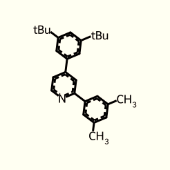 Cc1cc(C)cc(-c2cc(-c3cc(C(C)(C)C)cc(C(C)(C)C)c3)ccn2)c1